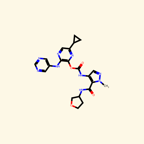 Cn1ncc(NC(=O)Oc2nc(C3CC3)cnc2Nc2cncnc2)c1C(=O)NC1CCOC1